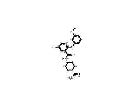 CSc1cccc(Oc2ncc(F)cc2C(=O)N[C@H]2CC[C@@H](C(N)=O)CC2)c1